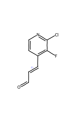 O=C/C=C/c1ccnc(Cl)c1F